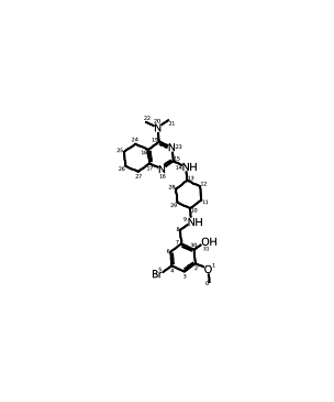 COc1cc(Br)cc(CNC2CCC(Nc3nc4c(c(N(C)C)n3)CCCC4)CC2)c1O